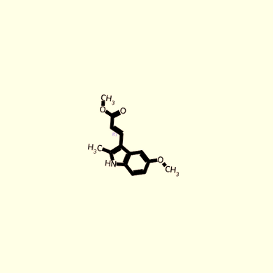 COC(=O)/C=C/c1c(C)[nH]c2ccc(OC)cc12